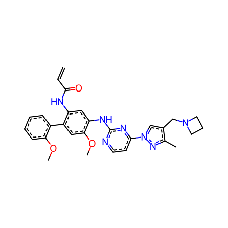 C=CC(=O)Nc1cc(Nc2nccc(-n3cc(CN4CCC4)c(C)n3)n2)c(OC)cc1-c1ccccc1OC